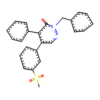 CS(=O)(=O)c1cccc(-c2cnn(Cc3ccccc3)c(=O)c2-c2ccccc2)c1